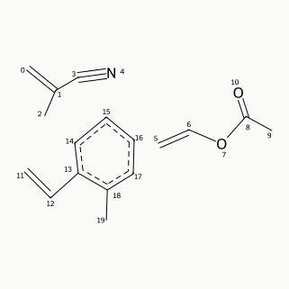 C=C(C)C#N.C=COC(C)=O.C=Cc1ccccc1C